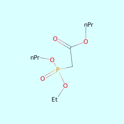 CCCOC(=O)CP(=O)(OCC)OCCC